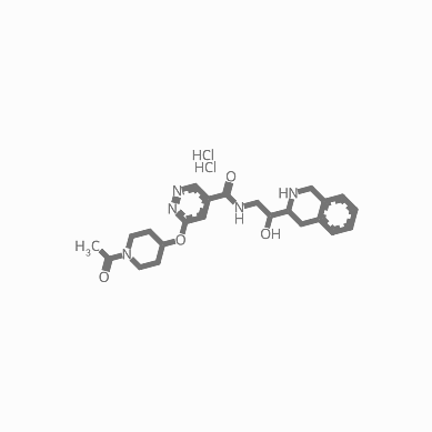 CC(=O)N1CCC(Oc2cc(C(=O)NCC(O)C3Cc4ccccc4CN3)cnn2)CC1.Cl.Cl